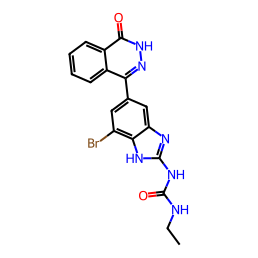 CCNC(=O)Nc1nc2cc(-c3n[nH]c(=O)c4ccccc34)cc(Br)c2[nH]1